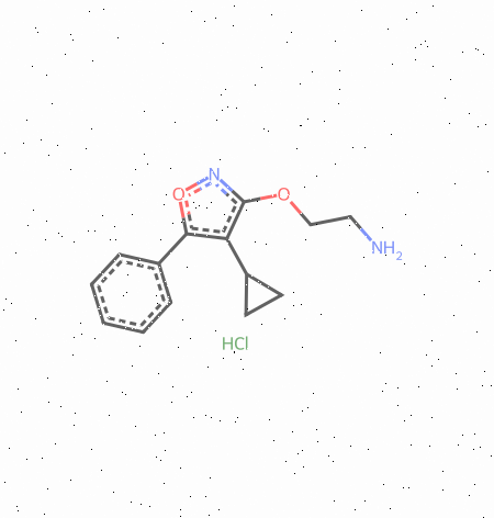 Cl.NCCOc1noc(-c2ccccc2)c1C1CC1